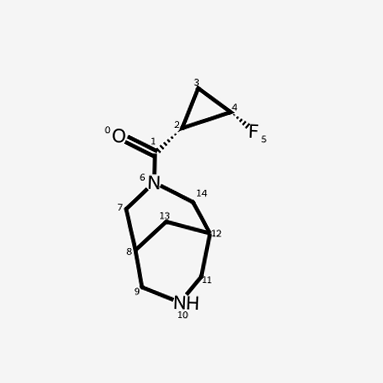 O=C([C@@H]1C[C@@H]1F)N1CC2CNCC(C2)C1